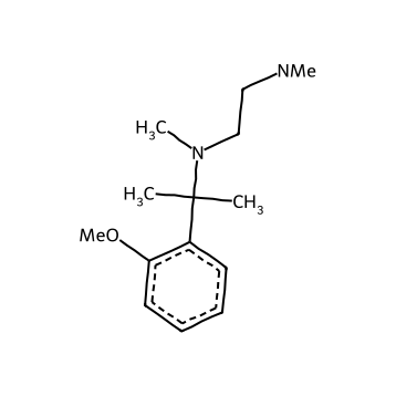 CNCCN(C)C(C)(C)c1ccccc1OC